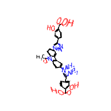 CC(=O)n1c2ccc(N(N)/C=C(\N)c3ccc(C(=O)O)c(O)c3)cc2c2cc(-n3cc(-c4ccc(C(=O)O)c(O)c4)nn3)ccc21